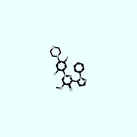 COc1cn(-c2cc(F)c(N3CCOCC3)cc2F)nc(-c2ccnn2-c2ccccc2)c1=O